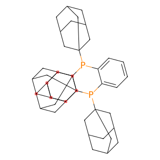 c1ccc(P(C23CC4CC(CC(C4)C2)C3)C23CC4CC(CC(C4)C2)C3)c(P(C23CC4CC(CC(C4)C2)C3)C23CC4CC(CC(C4)C2)C3)c1